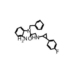 Nc1ccccc1N(Cc1ccccc1)C(=O)CNC1CC1c1ccc(F)cc1